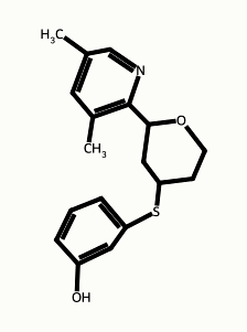 Cc1cnc(C2CC(Sc3cccc(O)c3)CCO2)c(C)c1